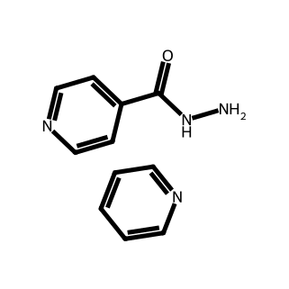 NNC(=O)c1ccncc1.c1ccncc1